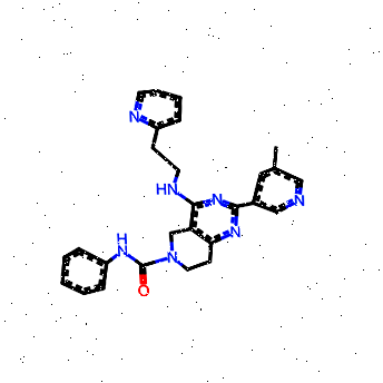 Cc1cncc(-c2nc3c(c(NCCc4ccccn4)n2)CN(C(=O)Nc2ccccc2)CC3)c1